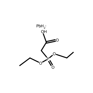 CCOP(=O)(CC(=O)O)OCC.[PbH2]